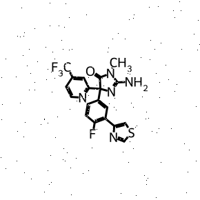 CN1C(=O)C(c2ccc(F)c(-c3cscn3)c2)(c2cc(C(F)(F)F)ccn2)N=C1N